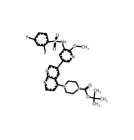 COc1ncc(-c2cnc3nccc(N4CCN(C(=O)OC(C)(C)C)CC4)c3c2)cc1NS(=O)(=O)c1ccc(F)cc1F